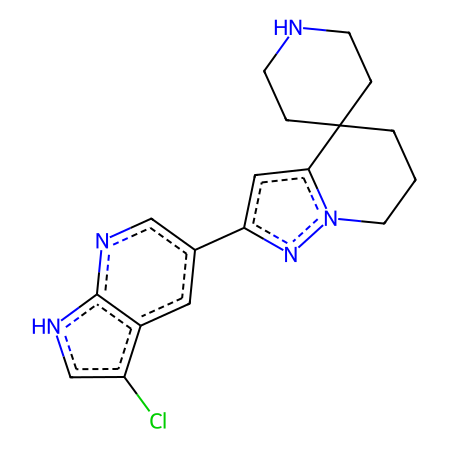 Clc1c[nH]c2ncc(-c3cc4n(n3)CCCC43CCNCC3)cc12